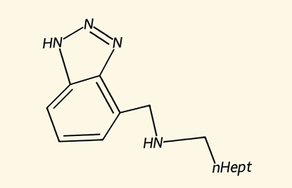 CCCCCCCCNCc1cccc2[nH]nnc12